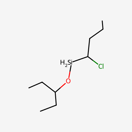 CCCC(Cl)[SiH2]OC(CC)CC